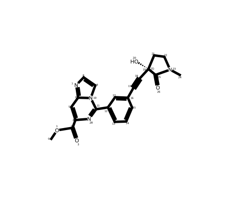 COC(=O)c1cc2nccn2c(-c2cccc(C#C[C@@]3(O)CCN(C)C3=O)c2)n1